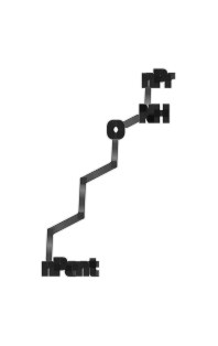 CCCCCCCCCONCCC